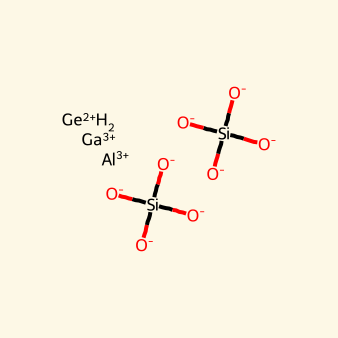 [Al+3].[Ga+3].[GeH2+2].[O-][Si]([O-])([O-])[O-].[O-][Si]([O-])([O-])[O-]